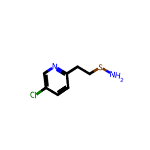 NSCCc1ccc(Cl)cn1